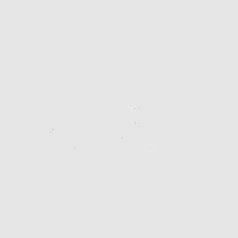 COC(=O)c1csc(N(NC(=O)OC(C)(C)C)C(=O)OC(C)(C)C)c1